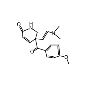 COc1ccc(C(=O)C2(C=CN(C)C)C=CC(=O)NC2)cc1